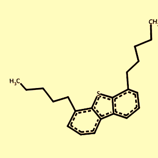 CCCCCc1cccc2c1sc1c(CCCCC)cccc12